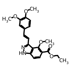 CCOC(=O)c1ccc2[nH]nc(/C=C/c3ccc(OC)c(OC)c3)c2c1OC